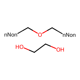 CCCCCCCCCCOCCCCCCCCCC.OCCO